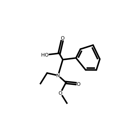 CCN(C(=O)OC)C(C(=O)O)c1ccccc1